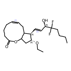 CCCCC(F)(F)[C@H](O)/C=C/[C@@H]1C2C/C=C\CCCC(=O)OC2C[C@H]1OCC